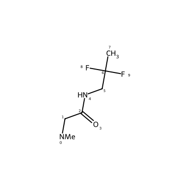 CNCC(=O)NCC(C)(F)F